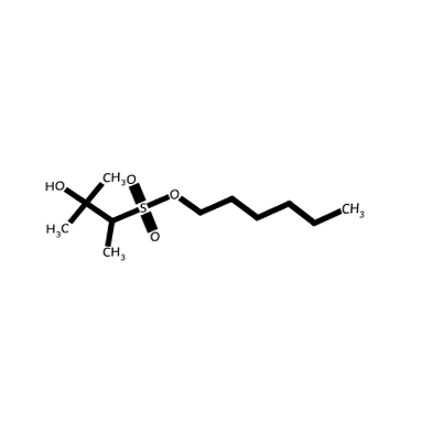 CCCCCCOS(=O)(=O)C(C)C(C)(C)O